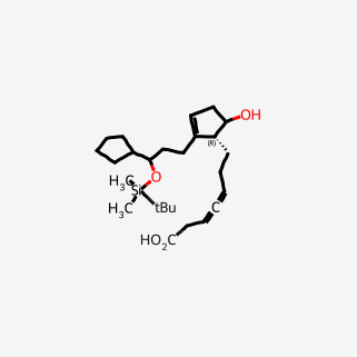 CC(C)(C)[Si](C)(C)OC(CCC1=CCC(O)[C@@H]1CCC=C=CCC(=O)O)C1CCCC1